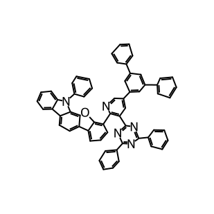 c1ccc(-c2cc(-c3ccccc3)cc(-c3cnc(-c4cccc5c4oc4c5ccc5c6ccccc6n(-c6ccccc6)c54)c(-c4nc(-c5ccccc5)nc(-c5ccccc5)n4)c3)c2)cc1